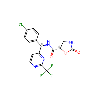 O=C1NC[C@@H](C(=O)N[C@H](c2ccc(Cl)cc2)c2ccnc(C(F)(F)F)n2)O1